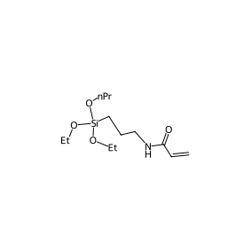 C=CC(=O)NCCC[Si](OCC)(OCC)OCCC